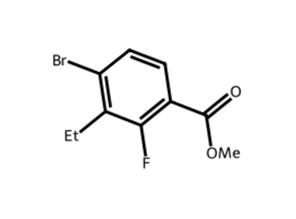 CCc1c(Br)ccc(C(=O)OC)c1F